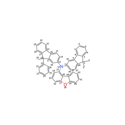 CC1(C)c2ccccc2-c2cc(N(c3ccc4c(c3)C(C)(c3ccccc3)c3ccccc3-4)c3cccc4oc5ccccc5c34)ccc21